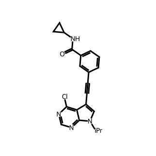 CC(C)n1cc(C#Cc2cccc(C(=O)NC3CC3)c2)c2c(Cl)ncnc21